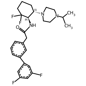 CC(C)N1CCN([C@H]2CCCC(F)(F)[C@@H]2NC(=O)Cc2cccc(-c3cc(F)cc(F)c3)c2)CC1